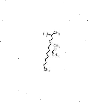 C=COC.CCCCCCCCCOCC(C)N